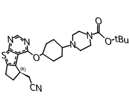 CC(C)(C)OC(=O)N1CCN(C2CCC(Oc3ncnc4sc5c(c34)[C@@H](CC#N)CC5)CC2)CC1